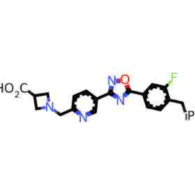 CC(C)Cc1ccc(-c2nc(-c3ccc(CN4CC(C(=O)O)C4)nc3)no2)cc1F